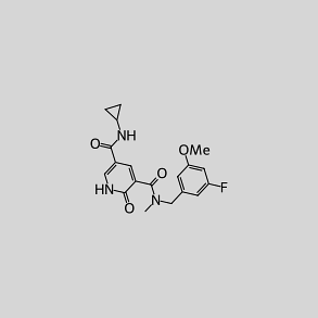 COc1cc(F)cc(CN(C)C(=O)c2cc(C(=O)NC3CC3)c[nH]c2=O)c1